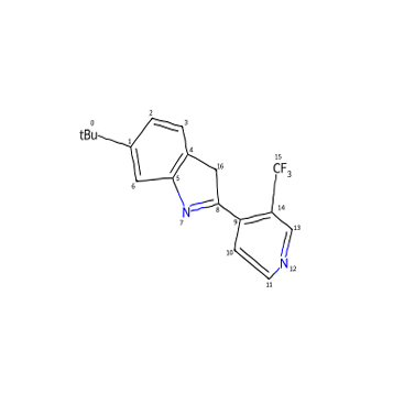 CC(C)(C)c1ccc2c(c1)N=C(c1ccncc1C(F)(F)F)C2